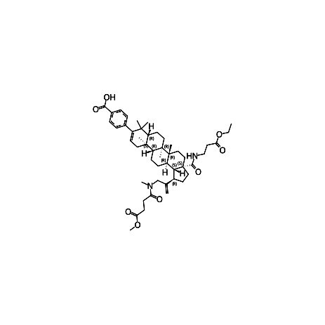 C=C(CN(C)C(=O)CCC(=O)OC)[C@@H]1CC[C@]2(C(=O)NCCC(=O)OCC)CC[C@]3(C)[C@H](CC[C@@H]4[C@@]5(C)CC=C(c6ccc(C(=O)O)cc6)C(C)(C)[C@@H]5CC[C@]43C)[C@@H]12